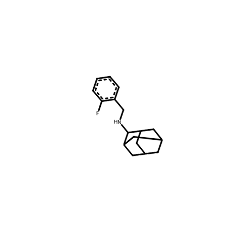 Fc1ccccc1CNC1C2CC3CC(C2)CC1C3